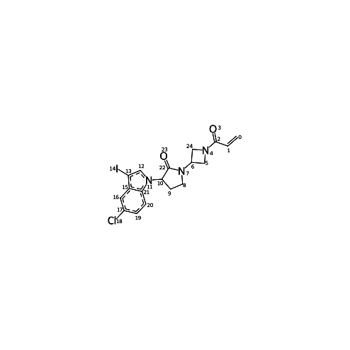 C=CC(=O)N1CC(N2CCC(n3cc(I)c4cc(Cl)ccc43)C2=O)C1